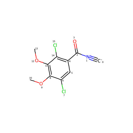 [C-]#[N+]C(=O)c1cc(Cl)c(OC)c(OC)c1Cl